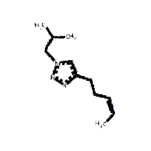 C/C=C\CCc1cn(CC(C)C)nn1